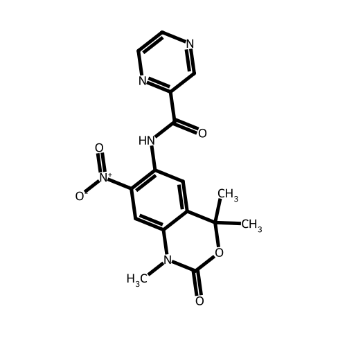 CN1C(=O)OC(C)(C)c2cc(NC(=O)c3cnccn3)c([N+](=O)[O-])cc21